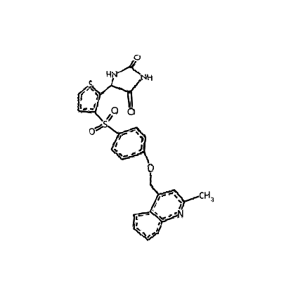 Cc1cc(COc2ccc(S(=O)(=O)c3ccsc3C3NC(=O)NC3=O)cc2)c2ccccc2n1